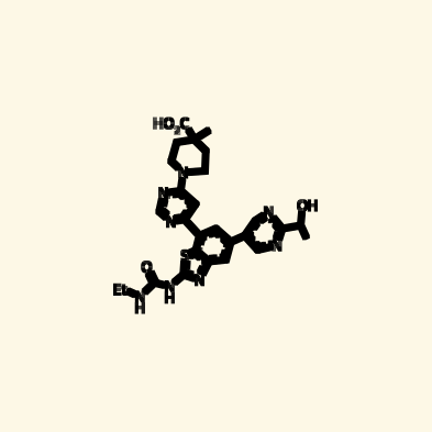 CCNC(=O)Nc1nc2cc(-c3cnc(C(C)O)nc3)cc(-c3cc(N4CCC(C)(C(=O)O)CC4)ncn3)c2s1